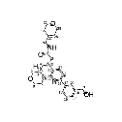 O=C(CN1C[C@@H]2COCCN2c2nc(-c3cccc(CO)c3)ncc21)NCC1CCOCC1